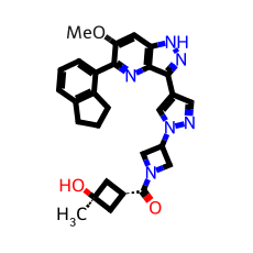 COc1cc2[nH]nc(-c3cnn(C4CN(C(=O)[C@H]5C[C@](C)(O)C5)C4)c3)c2nc1-c1cccc2c1CCC2